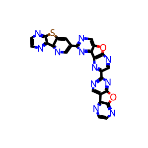 c1cnc2c(n1)oc1nc(-c3cnc4oc5cnc(-c6cnc7c(c6)sc6nccnc67)nc5c4n3)ncc12